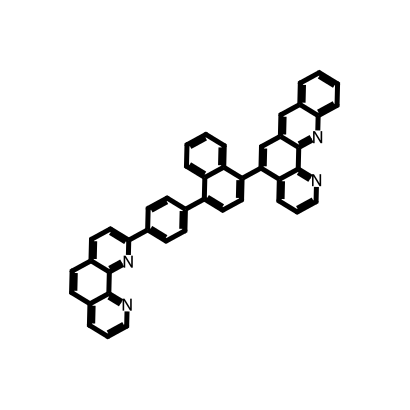 c1ccc2nc3c(cc(-c4ccc(-c5ccc(-c6ccc7ccc8cccnc8c7n6)cc5)c5ccccc45)c4cccnc43)cc2c1